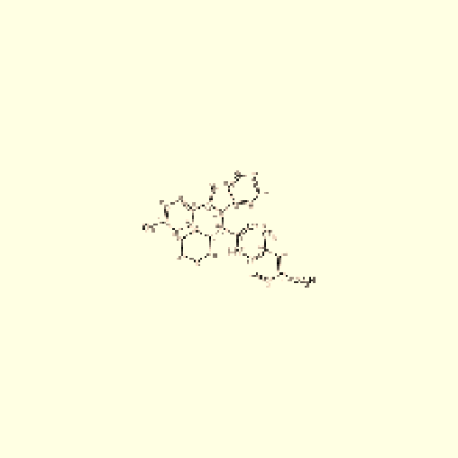 O=C(O)c1ccc(NC(=O)[C@H](C2CCCCC2)n2c(C3=CC=C(Cl)CC3)cc3ccccc32)c(C(F)(F)F)c1